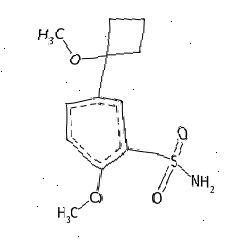 COc1ccc(C2(OC)CCC2)cc1S(N)(=O)=O